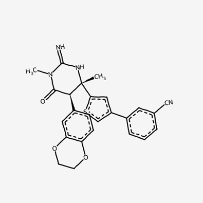 CN1C(=N)N[C@](C)(c2cc(-c3cccc(C#N)c3)cs2)[C@@H](c2ccc3c(c2)OCCO3)C1=O